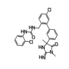 CN1C(=N)NC(C)(c2cccc(-c3cc(Cl)ccc3CNC(=O)Nc3ccccc3Cl)c2)C1=O